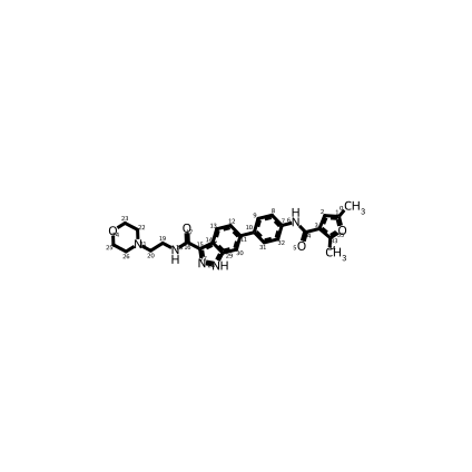 Cc1cc(C(=O)Nc2ccc(-c3ccc4c(C(=O)NCCN5CCOCC5)n[nH]c4c3)cc2)c(C)o1